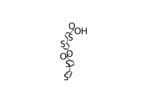 O=C(O)c1ccc(-c2cc(OC(=O)c3ccc(-c4ccsc4)s3)cs2)s1